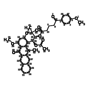 COc1ccc(C(=O)CCCC(=O)O[C@H]2[C@@H](OC(C)=O)c3c(cc(OC)c4c(=O)c5cc6ccccc6cc5n(C)c34)OC2(C)C)cc1